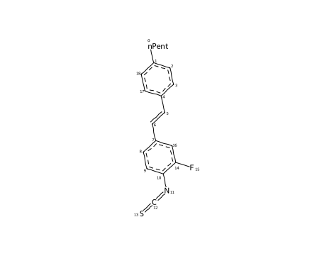 CCCCCc1ccc(C=Cc2ccc(N=C=S)c(F)c2)cc1